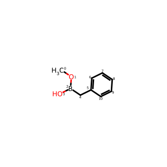 COB(O)Cc1ccccc1